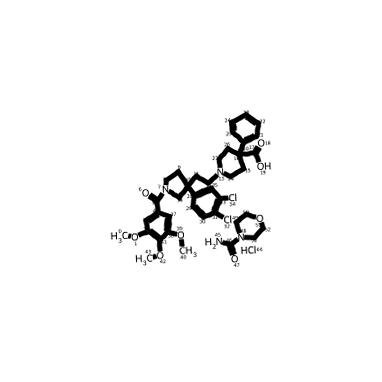 COc1cc(C(=O)N2CCC(CCN3CCC(C(=O)O)(c4ccccc4)CC3)(c3ccc(Cl)c(Cl)c3)C2)cc(OC)c1OC.Cl.NC(=O)N1CCOCC1